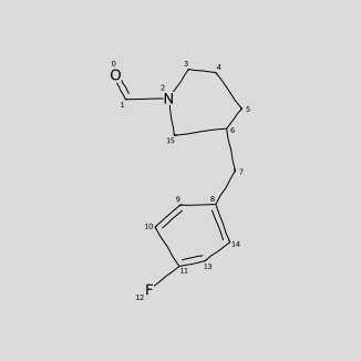 O=CN1CCCC(Cc2ccc(F)cc2)C1